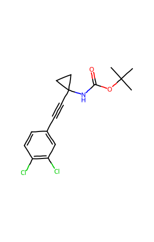 CC(C)(C)OC(=O)NC1(C#Cc2ccc(Cl)c(Cl)c2)CC1